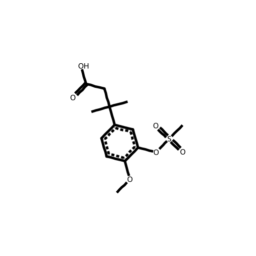 COc1ccc(C(C)(C)CC(=O)O)cc1OS(C)(=O)=O